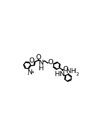 CN(C)c1cccc2oc(C(=O)NCCOc3ccc(C(=O)Nc4ccccc4N)cc3)cc12